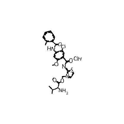 COc1cc(NC(=O)c2ccccc2C)c(Cl)cc1C(=O)/N=c1\sccn1COC(=O)[C@@H](N)C(C)C.Cl